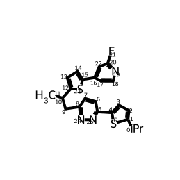 CC(C)c1ccc(-c2ccc(CC(C)c3ccc(-c4ccnc(F)c4)s3)nn2)s1